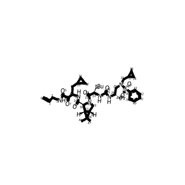 C=CCNC(=O)C(=O)C(CC1CC1)NC(=O)[C@@H]1[C@@H]2[C@H](CN1C(=O)[C@@H](NC(=O)N[C@H](CN(CC1CC1)S(=O)(=O)c1ccccc1)C(C)C)C(C)(C)C)C2(C)C